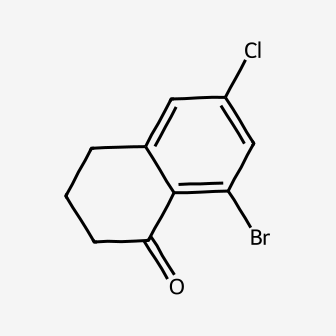 O=C1CCCc2cc(Cl)cc(Br)c21